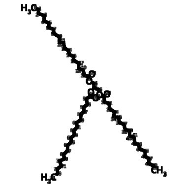 CCCCCCCCCCCCCCCCCCCCCC(=O)OCC(COC(=O)CCCCCCCCCCCCCCCCCCCCC)OC(=O)CCCCCCCCCCCCCCCCCCCCC